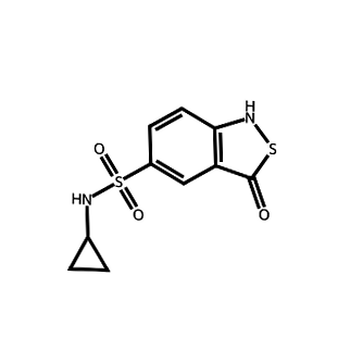 O=c1s[nH]c2ccc(S(=O)(=O)NC3CC3)cc12